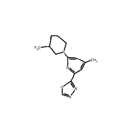 Cc1cc(-c2nnco2)nc(N2CCCC(C(F)(F)F)C2)c1